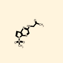 CC(=O)CNc1cnc2c(ccn2S(C)(=O)=O)n1